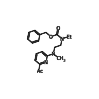 CCN(CCN(C)c1cccc(C(C)=O)n1)C(=O)OCc1ccccc1